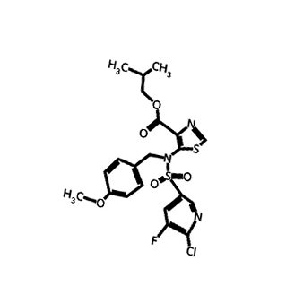 COc1ccc(CN(c2scnc2C(=O)OCC(C)C)S(=O)(=O)c2cnc(Cl)c(F)c2)cc1